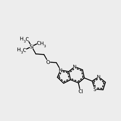 C[Si](C)(C)CCOCn1ccc2c(Cl)c(-c3nccs3)cnc21